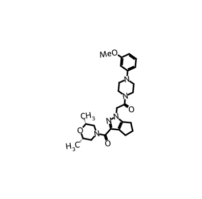 COc1cccc(N2CCN(C(=O)Cn3nc(C(=O)N4C[C@@H](C)O[C@@H](C)C4)c4c3CCC4)CC2)c1